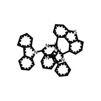 c1ccc(-c2nc(-c3cccc4sc5cccc(-c6nc7ccccc7[nH]6)c5c34)nc(-n3c4ccccc4c4ccccc43)n2)cc1